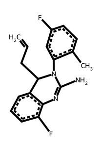 C=CCC1c2cccc(F)c2N=C(N)N1c1cc(F)ccc1C